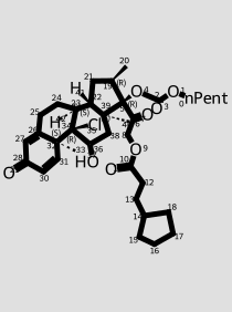 CCCCCOC(=O)O[C@]1(C(=O)COC(=O)CCC2CCCC2)[C@H](C)C[C@H]2[C@@H]3CCC4=CC(=O)C=C[C@]4(C)[C@@]3(Cl)C(O)C[C@@]21C